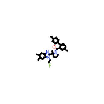 Cc1ccc(-c2ccc(C)cc2C(=O)N2CCCC2(C)c2nc3cc(C)c(C)cc3n2CCF)cc1